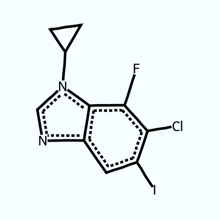 Fc1c(Cl)c(I)cc2ncn(C3CC3)c12